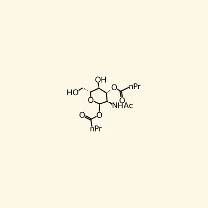 CCCC(=O)O[C@H]1O[C@H](CO)[C@@H](O)[C@H](OC(=O)CCC)[C@H]1NC(C)=O